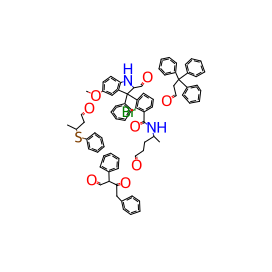 CC(CC=O)Sc1ccccc1.COc1ccc2c(c1)C(c1ccccc1)(c1cccc(C(=O)NC(C)CCC=O)c1Br)C(C=O)N2.O=CC(C(=O)Cc1ccccc1)c1ccccc1.O=CCC(c1ccccc1)(c1ccccc1)c1ccccc1